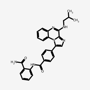 CC(C)CNc1nc2ccccc2n2c(-c3ccc(C(=O)Nc4ccccc4C(N)=O)cc3)cnc12